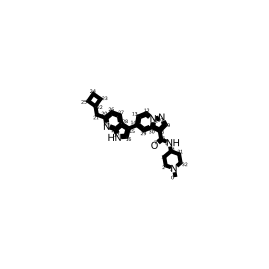 CN1CCC(NC(=O)c2cnn3ccc(-c4c[nH]c5nc(CC6CCC6)ccc45)cc23)CC1